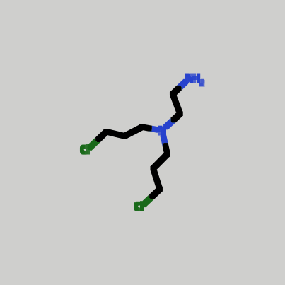 NCCN(CCCCl)CCCCl